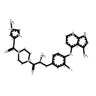 Cc1c[nH]c2nccc(Oc3ccc(C[C@H](N)C(=O)N4CCN(C(=O)c5cn(C)cn5)CC4)cc3F)c12